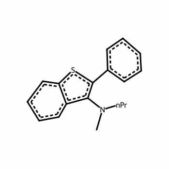 CCCN(C)c1c(-c2ccccc2)sc2ccccc12